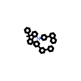 CC1(c2ccccc2)c2ccccc2-c2c(N(c3ccc(-c4cccc5ccccc45)cc3)c3cccc(-c4cccc(-c5ccccc5)c4)c3)cccc21